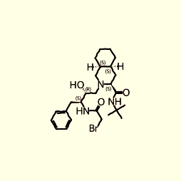 CC(C)(C)NC(=O)[C@@H]1C[C@@H]2CCCC[C@@H]2CN1C[C@@H](O)[C@H](Cc1ccccc1)NC(=O)CBr